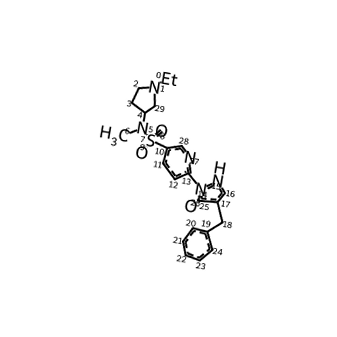 CCN1CCC(N(C)S(=O)(=O)c2ccc(-n3[nH]cc(Cc4ccccc4)c3=O)nc2)C1